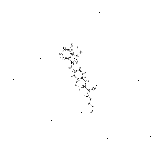 CCCCOC(=O)N1CCc2cc(Cn3nc(I)c4c(N)ncnc43)ccc2C1